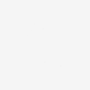 O=C(O)C(O)CCCC(O)C(O)C(=O)O